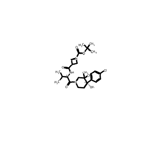 CC(C)[C@@H](NC(=O)C1CN(C(=O)OC(C)(C)C)C1)C(=O)N1CC[C@](O)(c2ccc(Cl)cc2)C(C)(C)C1